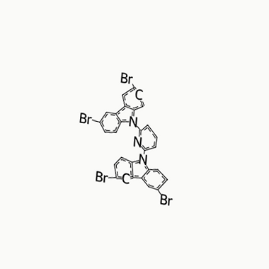 Brc1ccc2c(c1)c1cc(Br)ccc1n2-c1cccc(-n2c3ccc(Br)cc3c3cc(Br)ccc32)n1